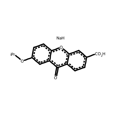 CC(C)Oc1ccc2oc3cc(C(=O)O)ccc3c(=O)c2c1.[NaH]